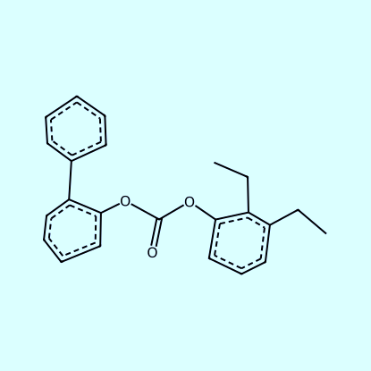 CCc1cccc(OC(=O)Oc2ccccc2-c2ccccc2)c1CC